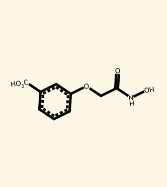 O=C(COc1cccc(C(=O)O)c1)NO